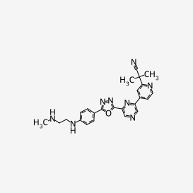 CNCCNc1ccc(-c2nnc(-c3cncc(-c4ccnc(C(C)(C)C#N)c4)n3)o2)cc1